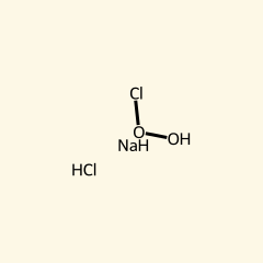 Cl.OOCl.[NaH]